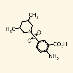 CC1CC(C)CN(S(=O)(=O)c2ccc(N)c(C(=O)O)c2)C1